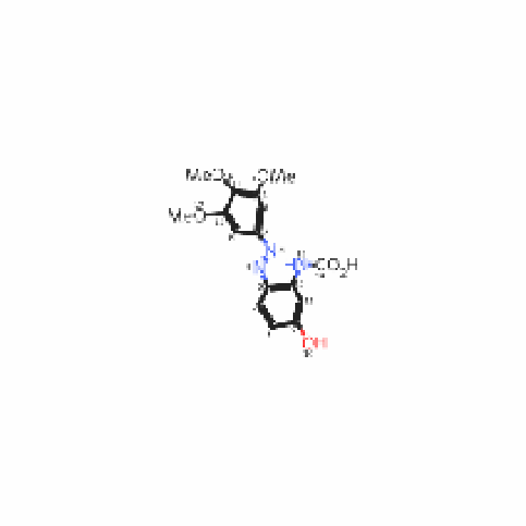 COc1cc(/N=N/c2ccc(O)cc2NC(=O)O)cc(OC)c1OC